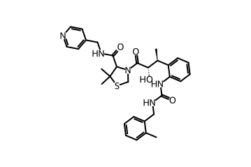 Cc1ccccc1CNC(=O)Nc1ccccc1[C@H](C)[C@H](O)C(=O)N1CSC(C)(C)C1C(=O)NCc1ccncc1